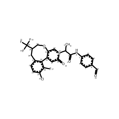 CC(C(=O)Nc1ccc(C=O)cc1)n1cc2c(cc1=O)-c1c(ccc(Cl)c1F)CC(C(F)(F)F)CO2